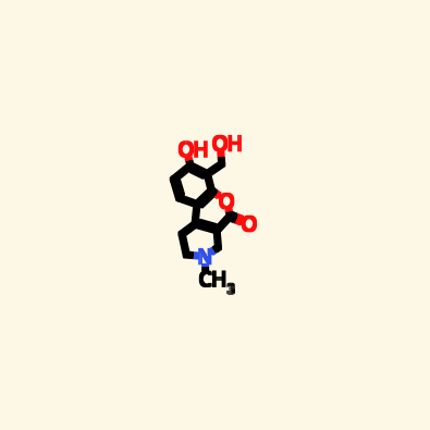 CN1CCc2c(c(=O)oc3c(CO)c(O)ccc23)C1